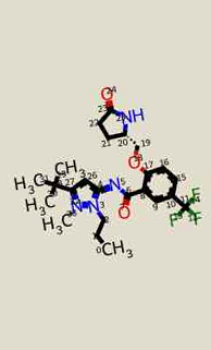 CCCn1c(=NC(=O)c2cc(C(F)(F)F)ccc2OC[C@@H]2CCC(=O)N2)cc(C(C)(C)C)n1C